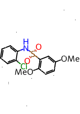 COc1ccc(OC)c(S(=O)(=O)Nc2ccccc2Cl)c1